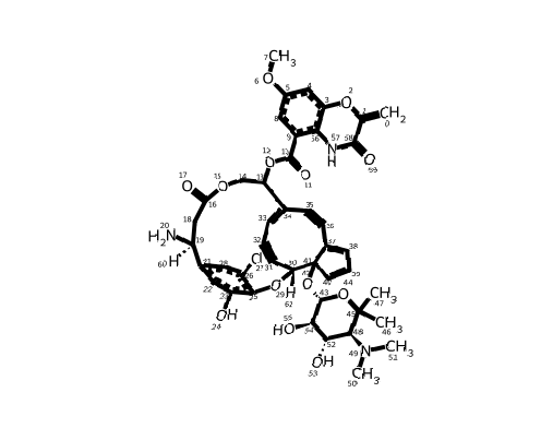 C=C1Oc2cc(OC)cc(C(=O)OC3COC(=O)C[C@H](N)c4cc(O)c(c(Cl)c4)O[C@@H]4C#C/C=C/3C#CC3=CC=CC34O[C@@H]3OC(C)(C)[C@@H](N(C)C)[C@H](O)[C@H]3O)c2NC1=O